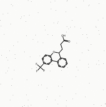 O=C(O)CCC1Oc2ccc(C(F)(F)F)cc2-c2ccccc21